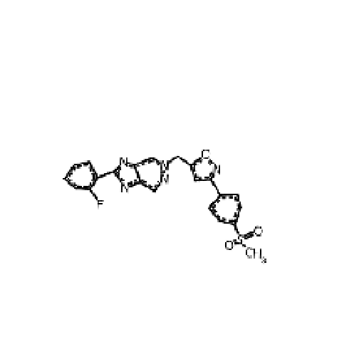 CS(=O)(=O)c1ccc(-c2cc(Cn3cc4nc(-c5ccccc5F)nc-4cn3)on2)cc1